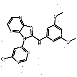 COc1cc(Nc2nc3nccnc3n2-c2cc(Cl)ncn2)cc(OC)c1